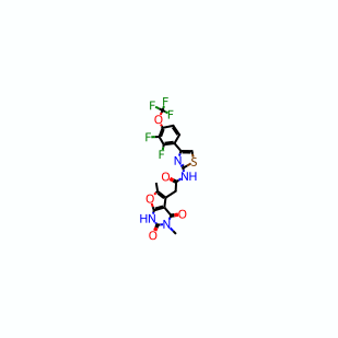 Cc1oc2[nH]c(=O)n(C)c(=O)c2c1CC(=O)Nc1nc(-c2ccc(OC(F)(F)F)c(F)c2F)cs1